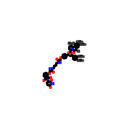 CC[C@H](C(=O)N1CCCC[C@H]1C(=O)O[C@H](CCc1ccc(OC)c(OC)c1)c1ccc(OCC(=O)NCCCCNC(=O)COc2cccc3c2C(=O)N(C2CCC(=O)NC2=O)C3=O)cc1)c1cc(OC)c(OC)c(OC)c1